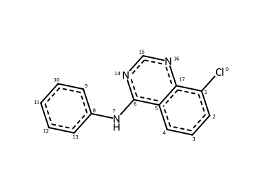 Clc1cccc2c(Nc3ccccc3)ncnc12